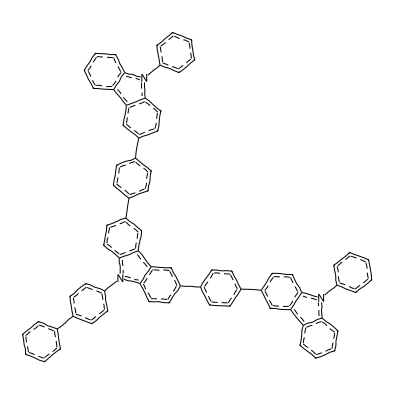 c1ccc(-c2ccc(-n3c4ccc(-c5ccc(-c6ccc7c(c6)c6ccccc6n7-c6ccccc6)cc5)cc4c4cc(-c5ccc(-c6ccc7c(c6)c6ccccc6n7-c6ccccc6)cc5)ccc43)cc2)cc1